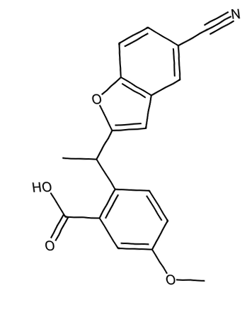 COc1ccc(C(C)c2cc3cc(C#N)ccc3o2)c(C(=O)O)c1